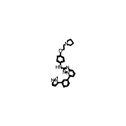 Cn1nccc1-c1cccc(-c2cccc3nc(Nc4ccc(OCCN5CCCC5)cc4)nn23)c1